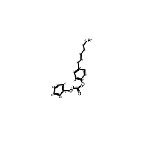 CC(C)CCCCCc1ccc(OC(=O)OOc2ccccc2)cc1